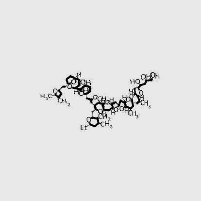 C=C1C[C@H](CC[C@]23CC[C@H](O2)C2C[C@@H](O3)[C@H]3O[C@@H](CC(=O)C[C@@H]4[C@@H](C)[C@@H]5O[C@@H]6C[C@]7(C[C@@H]8O[C@]9(C[C@H](C)[C@@H]%10O[C@H]([C@@H](O)C[C@@H](O)CO)C[C@@H]%10O9)C[C@H](C)[C@@H]8O7)O[C@@H]6C[C@@H]5O[C@H]4C[C@H]4O[C@@H](CC)C[C@@H](C)C4=C)CC[C@@H]3O2)O[C@H]1C